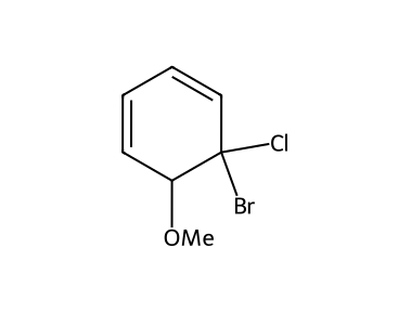 COC1C=CC=CC1(Cl)Br